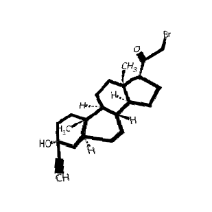 C#C[C@@]1(O)CC[C@@]2(C)[C@@H](CC[C@@H]3[C@@H]2CC[C@]2(C)[C@@H](C(=O)CBr)CC[C@@H]32)C1